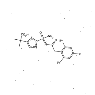 CC(C)c1cc(F)cc(C(C)C)c1CC(=O)N=S(N)(=O)c1ncc(C(C)(C)C(=O)O)s1